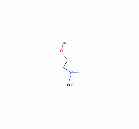 CCCN(C)CCOC(C)C